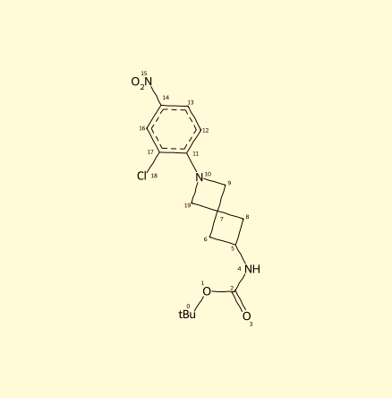 CC(C)(C)OC(=O)NC1CC2(C1)CN(c1ccc([N+](=O)[O-])cc1Cl)C2